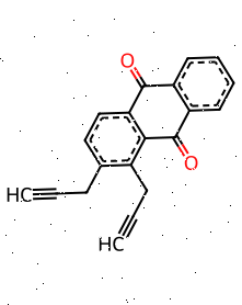 C#CCc1ccc2c(c1CC#C)C(=O)c1ccccc1C2=O